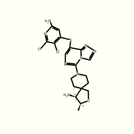 C[C@@H]1OCC2(CCN(c3ncc(Sc4cc(N)nc(Cl)c4Cl)c4nncn34)CC2)[C@@H]1N